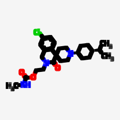 CNC(=O)OCCN1Cc2cc(Cl)ccc2C2(CCN([C@H]3CC[C@@H](C(C)C)CC3)CC2)C1=O